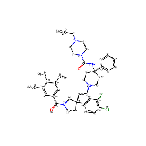 CCOC(=O)CN1CCN(C(=O)NC2(c3ccccc3)CCN(CCC3(c4ccc(Cl)c(Cl)c4)CCN(C(=O)c4cc(OC)c(OC)c(OC)c4)C3)CC2)CC1